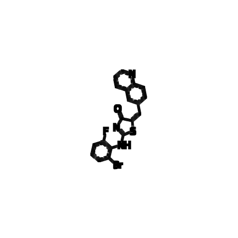 O=C1N=C(Nc2c(F)cccc2Br)SC1=Cc1ccc2ncccc2c1